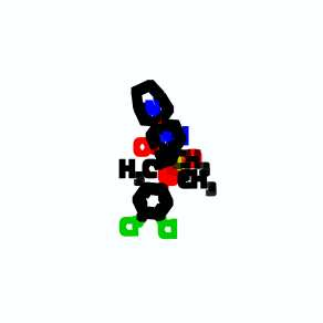 CC(C)(Oc1ccc(Cl)c(Cl)c1)C(=O)NC1CC2CCC(C1)N2c1ccc(S(C)(=O)=O)cc1